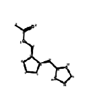 CC(=O)OC[C@@H]1CCC[C@@H]1CC1SCCS1